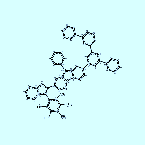 Bc1c(B)c(B)c(-c2c(-c3ccc4c5ccc(-c6nc(-c7ccccc7)nc(-c7cccc(-c8ccccc8)c7)n6)cc5n(-c5ccccc5)c4c3)nc3ccccn23)c(B)c1B